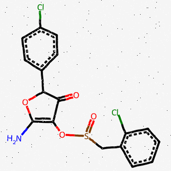 NC1=C(OS(=O)Cc2ccccc2Cl)C(=O)C(c2ccc(Cl)cc2)O1